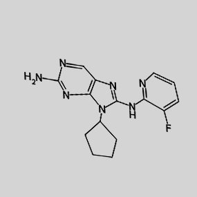 Nc1ncc2nc(Nc3ncccc3F)n(C3CCCC3)c2n1